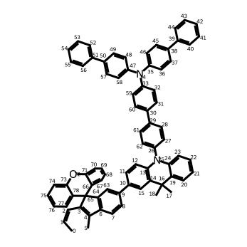 C/C=C\C1=C(C)c2ccc(-c3ccc4c(c3)C(C)(C)c3ccccc3N4c3ccc(-c4ccc(N(c5ccc(-c6ccccc6)cc5)c5ccc(-c6ccccc6)cc5)cc4)cc3)cc2C12c1ccccc1Oc1ccccc12